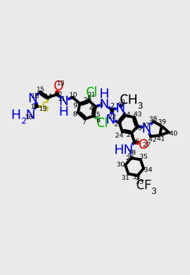 Cn1c(Nc2c(Cl)ccc(CNC(=O)c3cnc(N)s3)c2Cl)nc2cc(C(=O)N[C@H]3CC[C@H](C(F)(F)F)CC3)c(N3CC4CC4C3)cc21